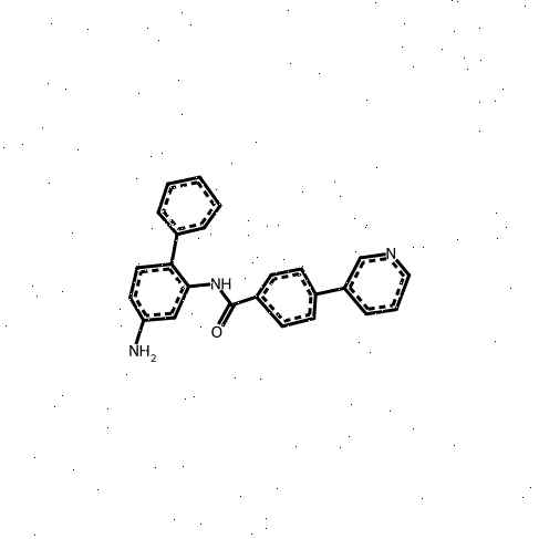 Nc1ccc(-c2ccccc2)c(NC(=O)c2ccc(-c3cccnc3)cc2)c1